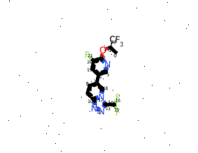 C[C@H](Oc1ncc(-c2ccc3nnc(C(F)F)n3c2)cc1F)C(F)(F)F